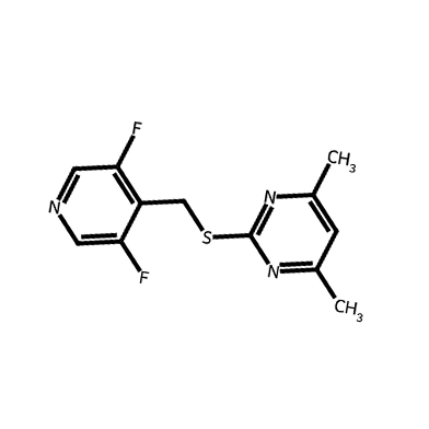 Cc1cc(C)nc(SCc2c(F)cncc2F)n1